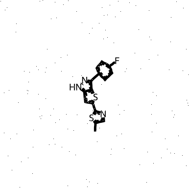 Cc1cnc(-c2cc3[nH]nc(-c4ccc(F)cc4)c3s2)s1